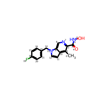 Cc1c(C(=O)NO)ncc2c1ccn2Cc1ccc(F)cc1